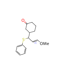 CO/C=C/C(Sc1ccccc1)C1CCCC(=O)C1